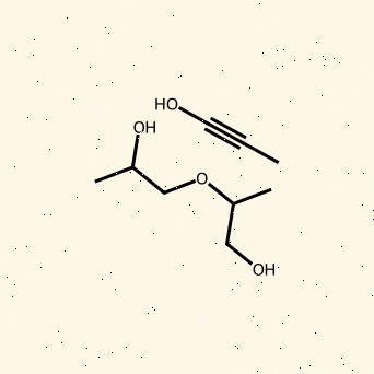 CC#CO.CC(O)COC(C)CO